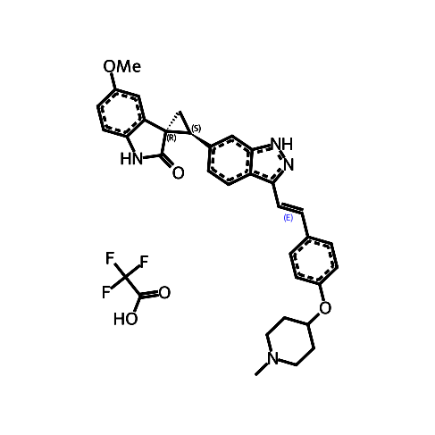 COc1ccc2c(c1)[C@]1(C[C@H]1c1ccc3c(/C=C/c4ccc(OC5CCN(C)CC5)cc4)n[nH]c3c1)C(=O)N2.O=C(O)C(F)(F)F